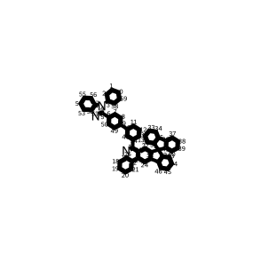 c1ccc(-n2c(-c3ccc(-c4cccc(-c5nc6ccccc6c6cc7c(cc56)C5(c6ccccc6-c6ccccc65)c5ccccc5-7)c4)cc3)nc3ccccc32)cc1